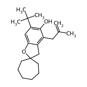 C=C(C)Cc1c(O)c(C(C)(C)C)cc2c1CC1(CCCCCC1)O2